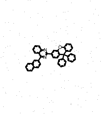 c1ccc(C2(c3ccccc3)c3ccccc3Oc3cc(-c4nc(-c5ccc6ccccc6c5)c5ccccc5n4)ccc32)cc1